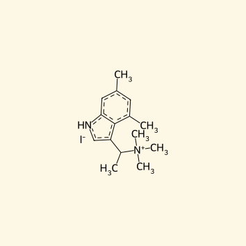 Cc1cc(C)c2c(C(C)[N+](C)(C)C)c[nH]c2c1.[I-]